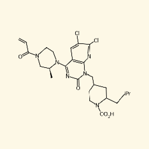 C=CC(=O)N1CCN(c2nc(=O)n(CC3CCN(C(=O)O)C(CC(C)C)C3)c3nc(Cl)c(Cl)cc23)[C@@H](C)C1